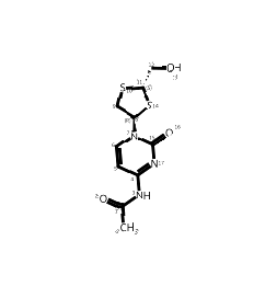 CC(=O)Nc1ccn([C@H]2CS[C@H](CO)S2)c(=O)n1